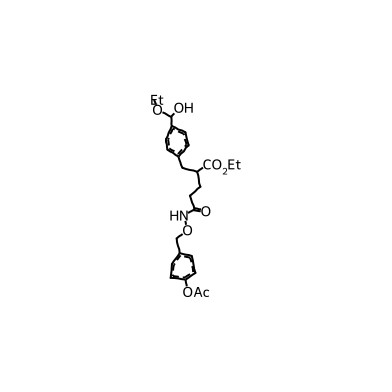 CCOC(=O)C(CCC(=O)NOCc1ccc(OC(C)=O)cc1)Cc1ccc(C(O)OCC)cc1